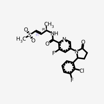 C[C@H](/C=C/S(C)(=O)=O)NC(=O)c1ncc(N2C(=O)CCC2c2cccc(F)c2Cl)cc1F